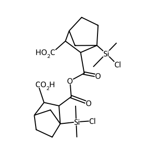 C[Si](C)(Cl)C12CCC(C1)C(C(=O)O)C2C(=O)OC(=O)C1C(C(=O)O)C2CCC1([Si](C)(C)Cl)C2